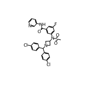 CS(=O)(=O)N(c1cc(F)cc(C(=O)Nc2cccnc2)c1)C1CN(C(c2ccc(Cl)cc2)c2ccc(Cl)cc2)C1